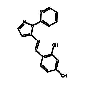 Oc1ccc(/N=N/c2ccnn2-c2ccccn2)c(O)c1